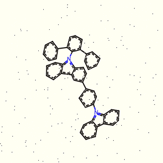 c1ccc(-c2cccc(-c3ccccc3)c2-n2c3ccccc3c3cc(-c4ccc(-n5c6ccccc6c6ccccc65)cc4)ccc32)cc1